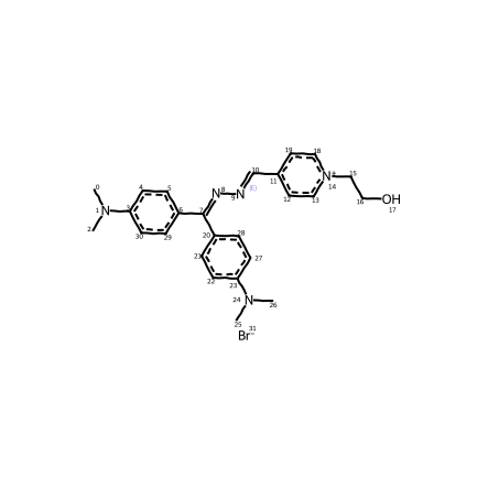 CN(C)c1ccc(C(=N/N=C/c2cc[n+](CCO)cc2)c2ccc(N(C)C)cc2)cc1.[Br-]